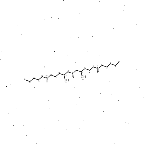 CCCCCNCCCC(O)CSCC(O)CCCNCCCCC